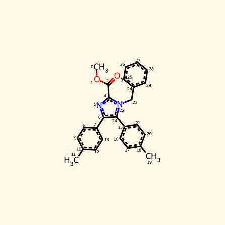 COC(=O)c1nc(-c2ccc(C)cc2)c(-c2ccc(C)cc2)n1Cc1ccccc1